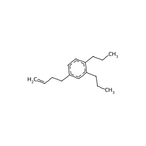 C=CCCc1ccc(CCC)c(CCC)c1